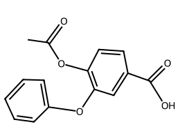 CC(=O)Oc1ccc(C(=O)O)cc1Oc1ccccc1